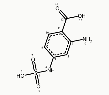 Nc1cc(NS(=O)(=O)O)ccc1C(=O)O